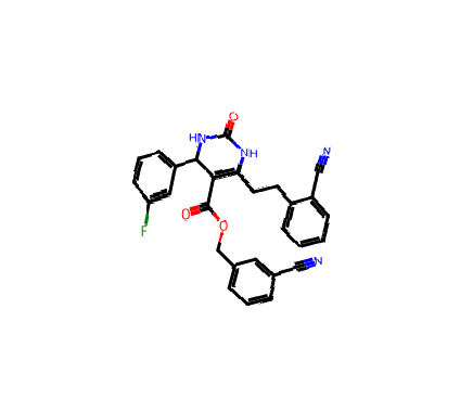 N#Cc1cccc(COC(=O)C2=C(CCc3ccccc3C#N)NC(=O)NC2c2cccc(F)c2)c1